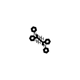 [2H]C([2H])(c1cn(-c2ccccc2)c2ccccc12)C([2H])([2H])c1cn(-c2ccccc2)c2ccccc12